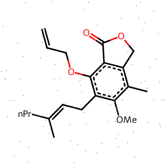 C=CCOc1c(C/C=C(\C)CCC)c(OC)c(C)c2c1C(=O)OC2